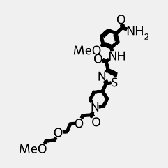 COCCOCCOCC(=O)N1CCC(c2nc(C(=O)Nc3cc(C(N)=O)ccc3OC)cs2)CC1